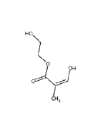 CC(=CO)C(=O)OCCO